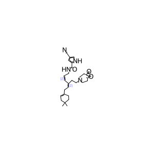 CC1(C)CC=C(C/C=C(\C=C/CNC(=O)c2cc(C#N)c[nH]2)CCN2CCS(=O)(=O)CC2)CC1